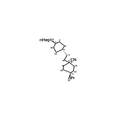 CCCCCCC[C@H]1CC[C@H](CC[C@]2(C#N)CC[C@H](CCC)CC2)CC1